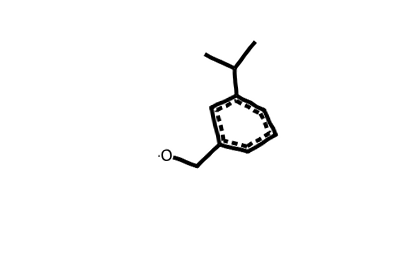 CC(C)c1cccc(C[O])c1